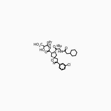 CCCC(NC(=O)[C@@H]1C[C@]2(CC(c3cccc(Cl)c3)=NO2)CN1C(=O)[C@@H](NC(=O)CC1CCCCC1)C(C)(C)C)C(O)C(=O)O